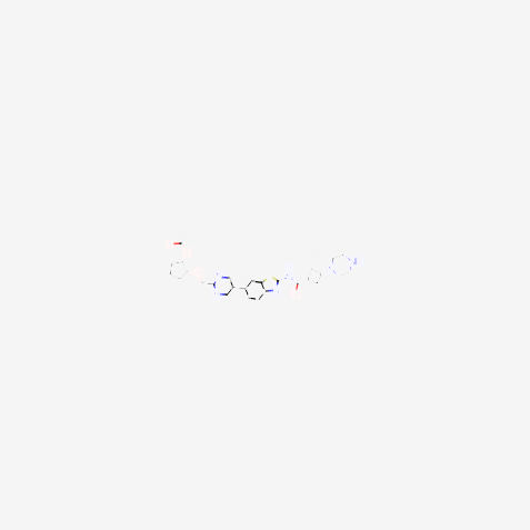 CC(=O)O[C@H]1CCC[C@@H]1OCc1ncc(-c2ccc3nc(NC(=O)[C@H]4C[C@@H](N5CCNC[C@@H]5C)C4)sc3c2)cn1